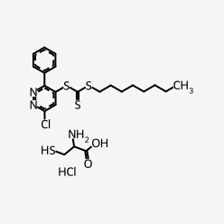 CCCCCCCCSC(=S)Sc1cc(Cl)nnc1-c1ccccc1.Cl.NC(CS)C(=O)O